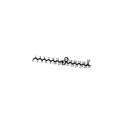 CCCCCCCCCCCCCCOC(=O)CCCCCCCCCC(C)C